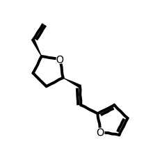 C=C[C@@H]1CC[C@H](/C=C/c2ccco2)O1